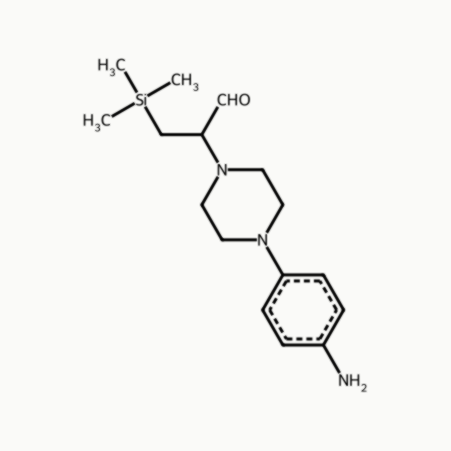 C[Si](C)(C)CC(C=O)N1CCN(c2ccc(N)cc2)CC1